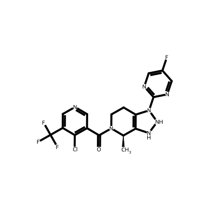 C[C@@H]1C2=C(CCN1C(=O)c1cncc(C(F)(F)F)c1Cl)N(c1ncc(F)cn1)NN2